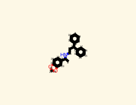 CC(NCCC(c1ccccc1)c1ccccc1)c1ccc2c(c1)OCO2